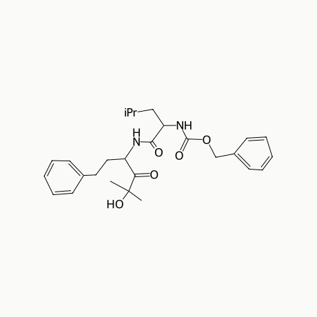 CC(C)CC(NC(=O)OCc1ccccc1)C(=O)NC(CCc1ccccc1)C(=O)C(C)(C)O